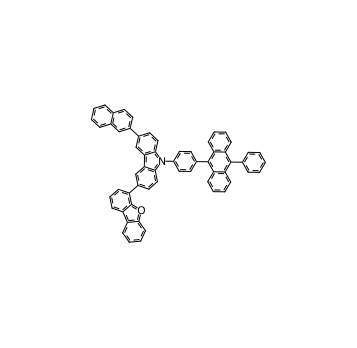 c1ccc(-c2c3ccccc3c(-c3ccc(-n4c5ccc(-c6ccc7ccccc7c6)cc5c5cc(-c6cccc7c6oc6ccccc67)ccc54)cc3)c3ccccc23)cc1